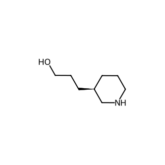 OCCC[C@H]1CCCNC1